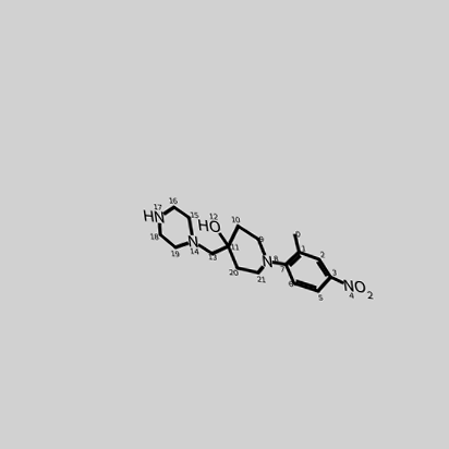 Cc1cc([N+](=O)[O-])ccc1N1CCC(O)(CN2CCNCC2)CC1